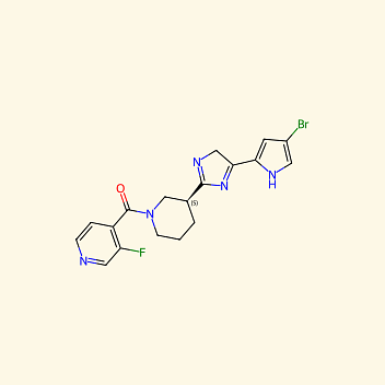 O=C(c1ccncc1F)N1CCC[C@H](C2=NCC(c3cc(Br)c[nH]3)=N2)C1